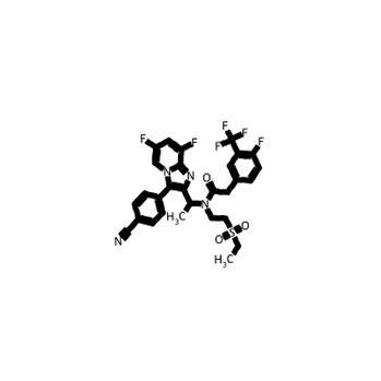 CCS(=O)(=O)CCN(C(=O)Cc1ccc(F)c(C(F)(F)F)c1)C(C)c1nc2c(F)cc(F)cn2c1-c1ccc(C#N)cc1